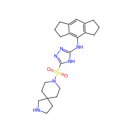 O=S(=O)(c1nnc(Nc2c3c(cc4c2CCC4)CCC3)[nH]1)N1CCC2(CCNC2)CC1